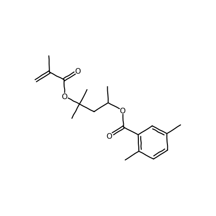 C=C(C)C(=O)OC(C)(C)CC(C)OC(=O)c1cc(C)ccc1C